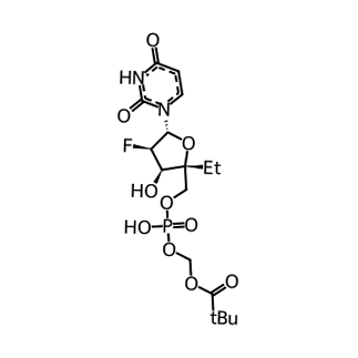 CC[C@]1(COP(=O)(O)OCOC(=O)C(C)(C)C)O[C@@H](n2ccc(=O)[nH]c2=O)[C@H](F)[C@@H]1O